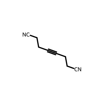 N#CCCC#CCCC#N